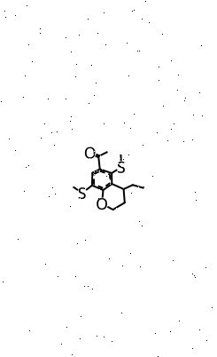 CCC1CCOc2c(SC)cc(C(C)=O)c(SC)c21